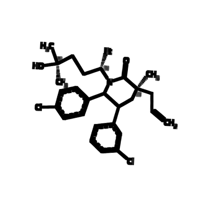 C=CC[C@@]1(C)CC(c2cccc(Cl)c2)C(c2ccc(Cl)cc2)N([C@@H](CC)CC[C@](C)(O)C(F)(F)F)C1=O